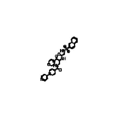 O=C(CNS(=O)(=O)c1ccc2ccccc2c1)NC(CNC(=O)C1CCN(c2ccncc2)CC1)C(=O)N1CCOCC1